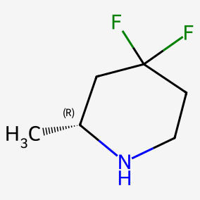 C[C@@H]1CC(F)(F)CCN1